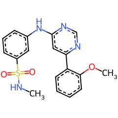 CNS(=O)(=O)c1cccc(Nc2cc(-c3ccccc3OC)ncn2)c1